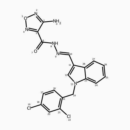 Nc1nonc1C(=O)N/N=C/c1cn(Cc2ccc(Cl)cc2Cl)c2ccccc12